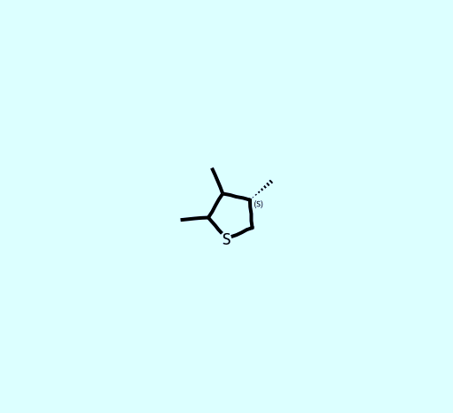 CC1SC[C@@H](C)C1C